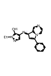 CCn1ncc(/N=C2\C=C(c3ccccc3)[n+]3ccncc32)c1O